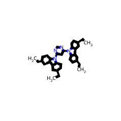 C=Cc1ccc2c(c1)c1cc(C=C)ccc1n2-c1cc(-n2c3ccc(C=C)cc3c3cc(C=C)ccc32)ncn1